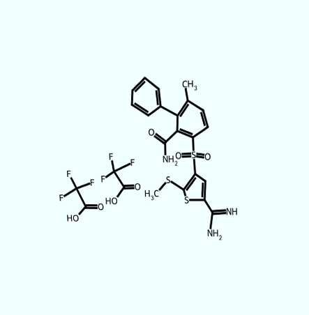 CSc1sc(C(=N)N)cc1S(=O)(=O)c1ccc(C)c(-c2ccccc2)c1C(N)=O.O=C(O)C(F)(F)F.O=C(O)C(F)(F)F